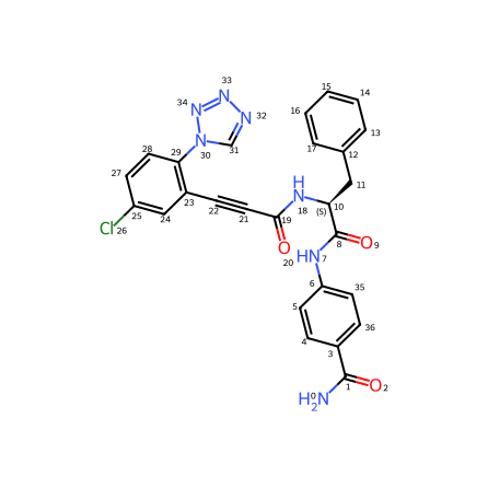 NC(=O)c1ccc(NC(=O)[C@H](Cc2ccccc2)NC(=O)C#Cc2cc(Cl)ccc2-n2cnnn2)cc1